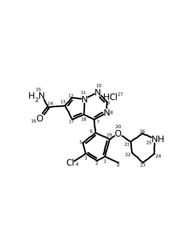 Cc1cc(Cl)cc(-c2ncnn3cc(C(N)=O)cc23)c1OC1CCCNC1.Cl